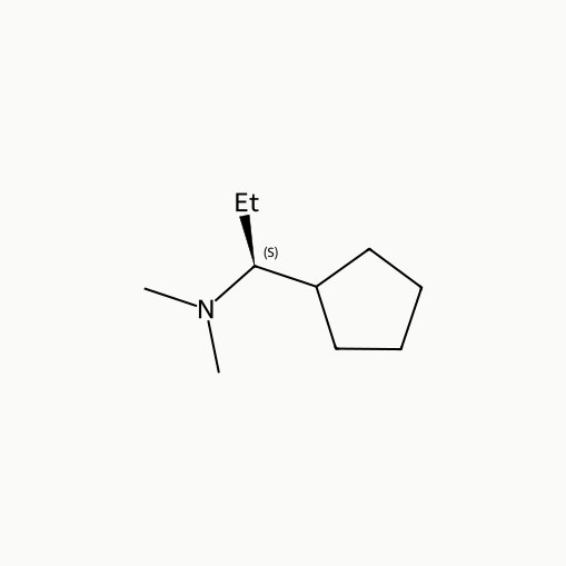 CC[C@@H](C1CCCC1)N(C)C